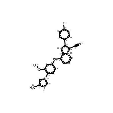 COc1cc(Nc2cccn3c(C#N)c(-c4ccc(F)cc4)nc23)ccc1-n1cnc(C)c1